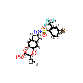 CC(Oc1ccc2c(c1)CC(NS(=O)(=O)c1ccc(Br)cc1C(F)(F)F)C2)C(=O)O